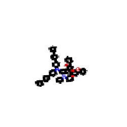 c1ccc(-c2ccc(-c3ccc(N(c4ccc(-c5ccc(-c6ccccc6)cc5)cc4)c4ccc5c(c4)N(c4ccccc4)c4ccccc4[Si]5(c4ccc5c(c4)oc4ccccc45)c4ccc5c(c4)oc4ccccc45)cc3)cc2)cc1